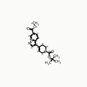 COC(=O)c1ccc2c(C3=CCN(C(=O)OC(C)(C)C)CC3)cnn2c1